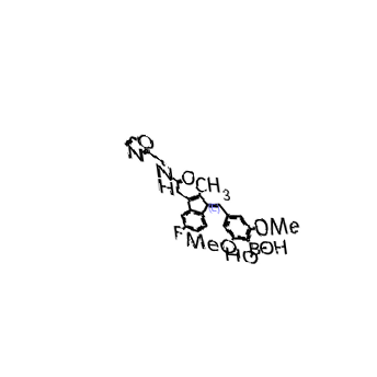 COc1cc(/C=C2/C(C)=C(CC(=O)NCc3ncco3)c3cc(F)ccc32)cc(OC)c1B(O)O